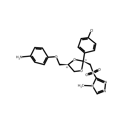 Cn1cnnc1S(=O)(=O)C[C@@]1(c2ccc(Cl)cc2)OC[C@@H](COc2ccc(N)cc2)O1